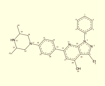 CCc1nn(-c2ccccc2)c2nc(-c3ccc(N4CC(C)NC(C)C4)cc3)cc(O)c12